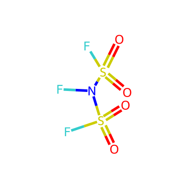 O=S(=O)(F)N(F)S(=O)(=O)F